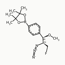 CO[C@H](c1ccc(B2OC(C)(C)C(C)(C)O2)cc1)[C@@H](CF)N=[N+]=[N-]